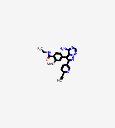 C#Cc1ccc(-c2nn3ncnc(N)c3c2-c2ccc(C(=O)NCC(F)(F)F)c(OC)c2)cn1